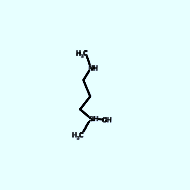 CNCCC[SiH](C)O